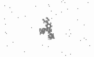 CCN(CC)c1ccc(N=Nc2nncs2)c(NOC(F)(F)F)c1